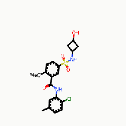 COc1ccc(S(=O)(=O)NC2CC(O)C2)cc1C(=O)Nc1cc(C)ccc1Cl